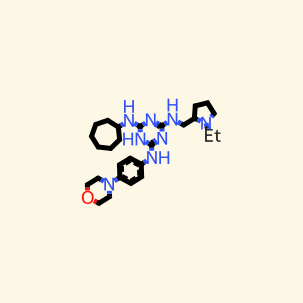 CCN1CCCC1CNC1=NC(NC2CCCCCC2)NC(Nc2ccc(N3CCOCC3)cc2)=N1